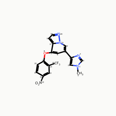 Cn1cnc(-c2cc(Oc3ccc([N+](=O)[O-])cc3C(F)(F)F)c3ccnn3c2)c1